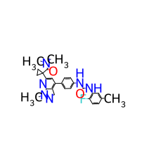 Cc1ccc(F)c(NC(=O)Nc2ccc(-c3cc(C4(C(=O)N(C)C)CC4)nc4c3cnn4C)cc2)c1